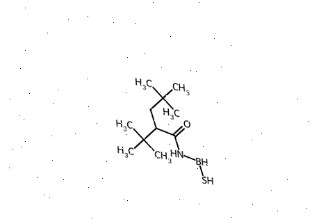 CC(C)(C)CC(C(=O)NBS)C(C)(C)C